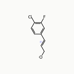 [O]C/C=C/c1ccc(Cl)c(F)c1